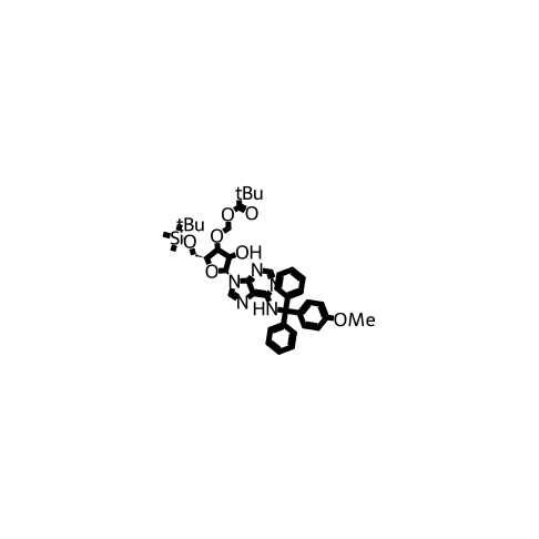 COc1ccc(C(Nc2ncnc3c2ncn3[C@@H]2O[C@H](CO[Si](C)(C)C(C)(C)C)C(OCOC(=O)C(C)(C)C)C2O)(c2ccccc2)c2ccccc2)cc1